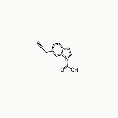 C#CCc1ccc2ccn(C(=O)O)c2c1